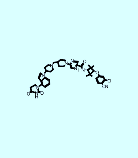 CC1(C)[C@H](NC(=O)c2cnc(N3CCC(CN4CCC(n5ccc6c(N7CCC(=O)NC7=O)cccc65)CC4)CC3)cn2)C(C)(C)[C@H]1Oc1ccc(C#N)c(Cl)c1